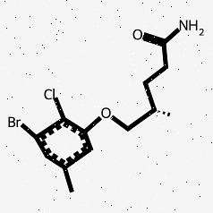 Cc1cc(Br)c(Cl)c(OC[C@@H](C)CCC(N)=O)c1